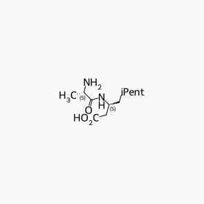 CCCC(C)C[C@@H](CC(=O)O)NC(=O)[C@H](C)N